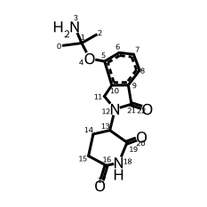 CC(C)(N)Oc1cccc2c1CN(C1CCC(=O)NC1=O)C2=O